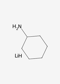 NC1CCCCC1.[LiH]